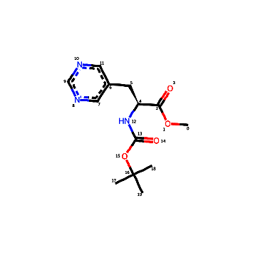 COC(=O)[C@H](Cc1cncnc1)NC(=O)OC(C)(C)C